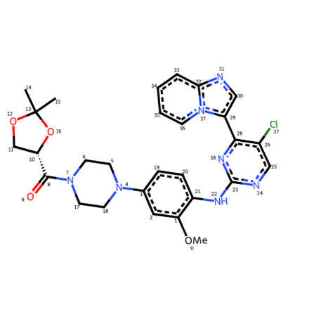 COc1cc(N2CCN(C(=O)[C@@H]3COC(C)(C)O3)CC2)ccc1Nc1ncc(Cl)c(-c2cnc3ccccn23)n1